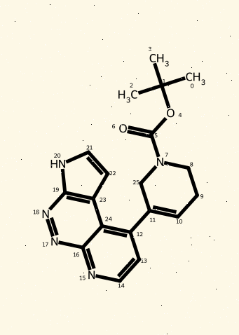 CC(C)(C)OC(=O)N1CCC=C(c2ccnc3nnc4[nH]ccc4c23)C1